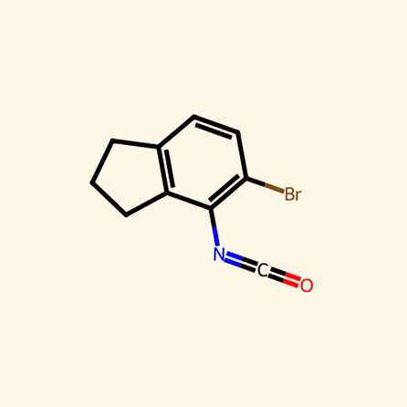 O=C=Nc1c(Br)ccc2c1CCC2